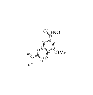 COc1cc(C(=O)N=O)cc2cc(C(F)F)cnc12